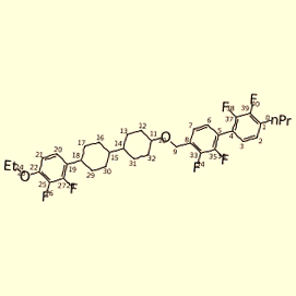 CCCc1ccc(-c2ccc(COC3CCC(C4CCC(c5ccc(OCC)c(F)c5F)CC4)CC3)c(F)c2F)c(F)c1F